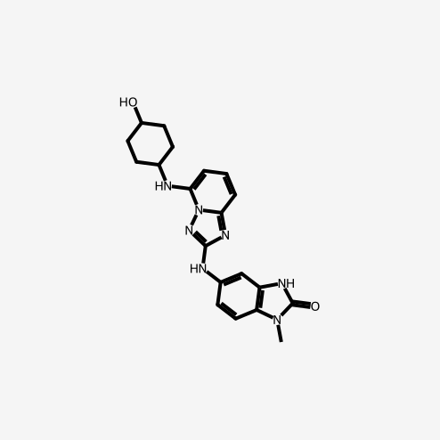 Cn1c(=O)[nH]c2cc(Nc3nc4cccc(NC5CCC(O)CC5)n4n3)ccc21